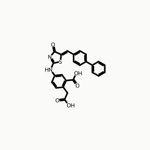 O=C(O)Cc1ccc(NC2=NC(=O)C(=Cc3ccc(-c4ccccc4)cc3)S2)cc1C(=O)O